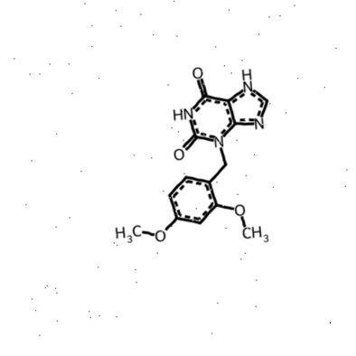 COc1ccc(Cn2c(=O)[nH]c(=O)c3[nH]cnc32)c(OC)c1